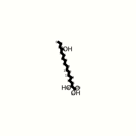 CCCC(O)CCCCCCCCCCCCC(O)C(=O)O